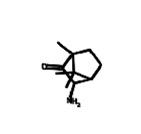 CC12CCC(C(N)C1=O)C2(C)C